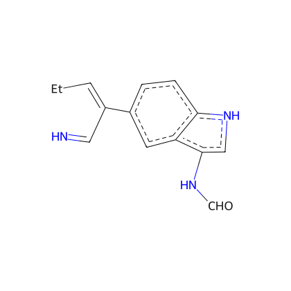 CC/C=C(\C=N)c1ccc2[nH]cc(NC=O)c2c1